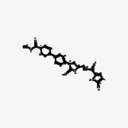 CC(C)(C)OC(=O)N1C=NN(c2ccc(N3CC(CNC(=O)c4ccc(Cl)s4)OC3=O)cc2)CC1